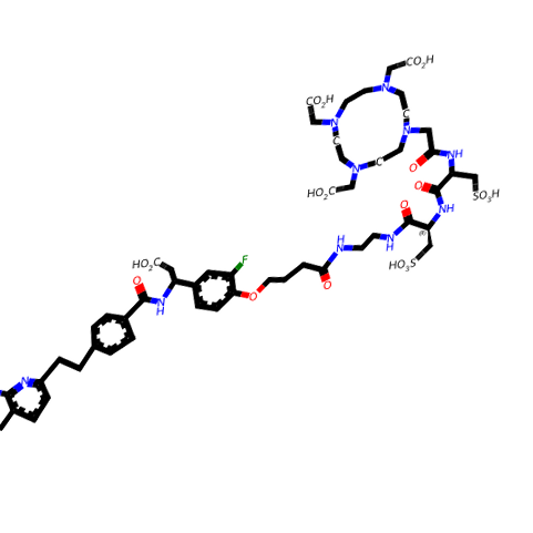 O=C(O)CC(NC(=O)c1ccc(CCc2ccc3c(n2)NCCC3)cc1)c1ccc(OCCCC(=O)NCCNC(=O)[C@H](CS(=O)(=O)O)NC(=O)C(CS(=O)(=O)O)NC(=O)CN2CCN(CC(=O)O)CCN(CC(=O)O)CCN(CC(=O)O)CC2)c(F)c1